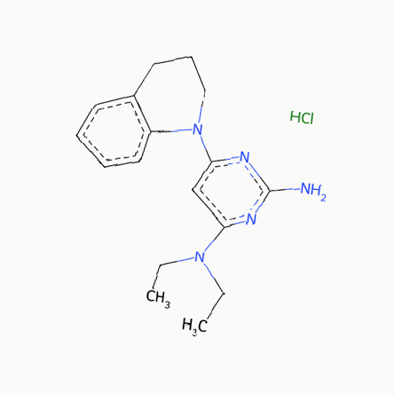 CCN(CC)c1cc(N2CCCc3ccccc32)nc(N)n1.Cl